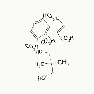 CC(C)(CO)CO.O=C(O)C=CC(=O)O.O=C(O)c1ccccc1C(=O)O